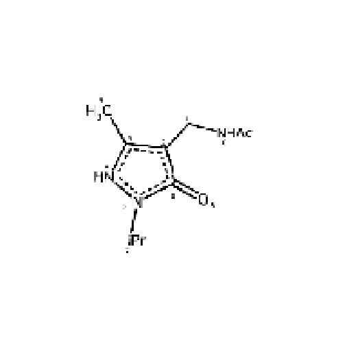 CC(=O)NCc1c(C)[nH]n(C(C)C)c1=O